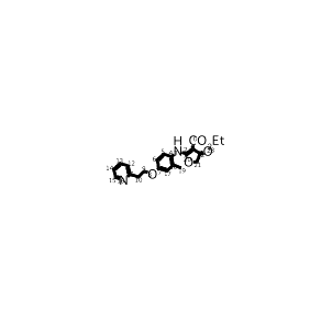 CCOC(=O)C1=C(Nc2ccc(OCCc3ccccn3)cc2C)OCC1=O